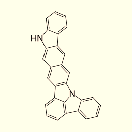 c1ccc2c(c1)[nH]c1cc3cc4c5cccc6c7ccccc7n(c4cc3cc12)c65